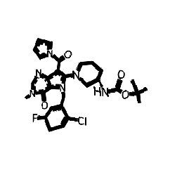 Cn1cnc2c(C(=O)n3cccc3)c(N3CCC[C@@H](NC(=O)OC(C)(C)C)C3)n(CC3=CC(F)CC=C3Cl)c2c1=O